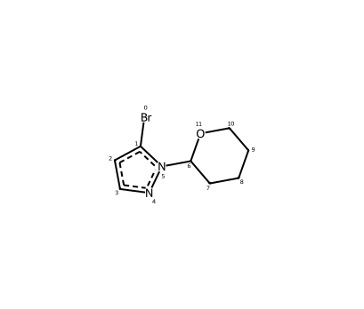 Brc1ccnn1C1CCCCO1